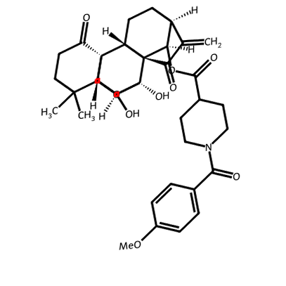 C=C1C(=O)[C@]23[C@H](OC(=O)C4CCN(C(=O)c5ccc(OC)cc5)CC4)[C@H]1CC[C@H]2[C@@]12CO[C@@]3(O)[C@@H](O)[C@@H]1C(C)(C)CCC2=O